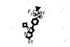 CCc1cnc2c(c1)cc(-c1ccc(S(=O)(=O)NC3(C(F)(F)F)CC3)cc1)n2C1CCC1